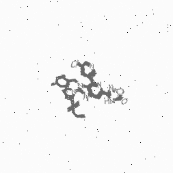 CCC(C)(C)C1CCCN1c1nc2cc(-c3noc(=O)[nH]3)nc(-c3cncc(Cl)c3)c2n1CC1CCC(C)CC1